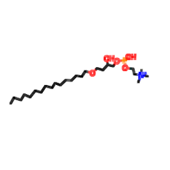 CCCCCCCCCCCCCCCCOCCC(O)COP(O)OCC[N+](C)(C)C